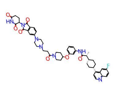 C[C@@H](C(=O)Nc1cccc(OC2CCN(C(=O)CCN3CCN(c4ccc5c(c4)C(=O)N(C4CCC(=O)NC4=O)C5=O)CC3)CC2)c1)[C@H]1CC[C@@H](c2ccnc3ccc(F)cc32)CC1